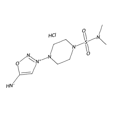 CN(C)S(=O)(=O)N1CCN([n+]2cc([NH-])on2)CC1.Cl